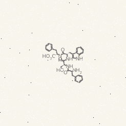 N[C@@H](Cc1ccccc1)C(=O)N[C@@H](CO)C(=O)N[C@@H](Cc1c[nH]c2ccccc12)C(=O)N[C@@H](Cc1ccccc1)C(=O)O